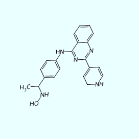 CC(NO)c1ccc(Nc2nc(C3=CCNC=C3)nc3ccccc23)cc1